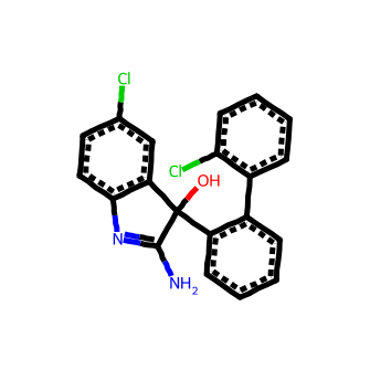 NC1=Nc2ccc(Cl)cc2C1(O)c1ccccc1-c1ccccc1Cl